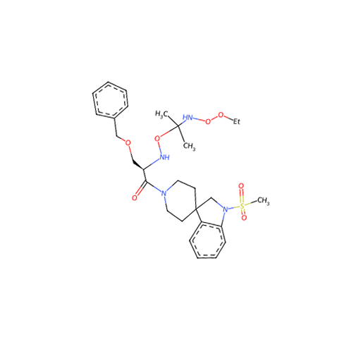 CCOONC(C)(C)ON[C@H](COCc1ccccc1)C(=O)N1CCC2(CC1)CN(S(C)(=O)=O)c1ccccc12